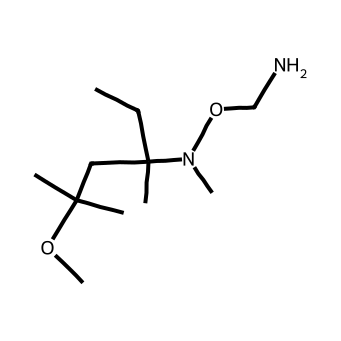 CCC(C)(CC(C)(C)OC)N(C)OCN